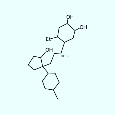 CCC1CC(O)C(O)CC1[C@H](C)CCC1(C2CCC(C)CC2)CCCC1O